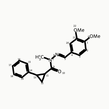 COc1ccc(C=NN(C)C(=O)C2CC2c2ccccc2)cc1OC